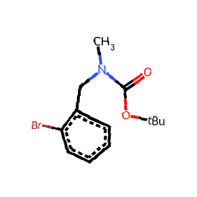 CN(Cc1ccccc1Br)C(=O)OC(C)(C)C